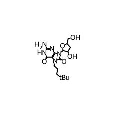 CC(C)(C)CCCn1c(=O)n(C2OC(CO)CC2O)c2nc(N)[nH]c(=O)c21